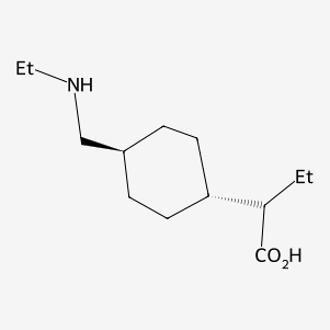 CCNC[C@H]1CC[C@H](C(CC)C(=O)O)CC1